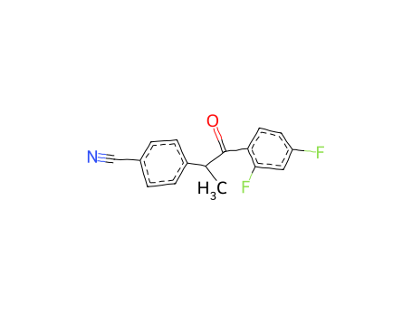 CC(C(=O)c1ccc(F)cc1F)c1ccc(C#N)cc1